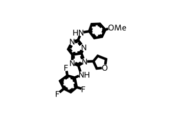 COc1ccc(Nc2ncc3nc(Nc4c(F)cc(F)cc4F)n(C4CCOC4)c3n2)cc1